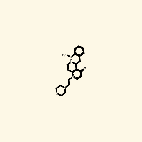 COc1ccccc1CC1NC=Cc2c1c(=O)ccn2CCN1CCOCC1